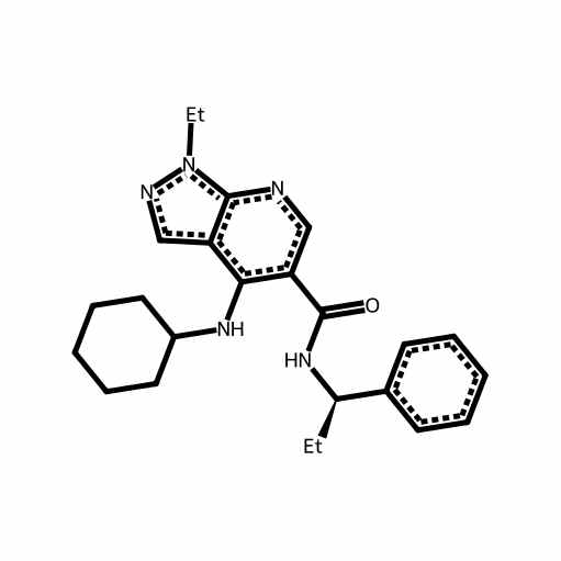 CC[C@@H](NC(=O)c1cnc2c(cnn2CC)c1NC1CCCCC1)c1ccccc1